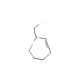 CCCCCCC1C=CCCCCC1